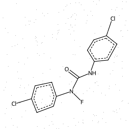 O=C(Nc1ccc(Cl)cc1)N(F)c1ccc(Cl)cc1